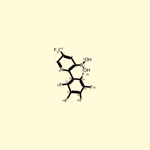 OB(O)c1cc(C(F)(F)F)cnc1-c1c(F)c(F)c(F)c(F)c1F